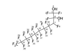 OC(F)(F)C(O)(F)C(F)C(F)(F)C(F)(F)C(F)(F)C(F)(F)C(F)(F)C(F)(F)C(F)(F)C(F)(F)F